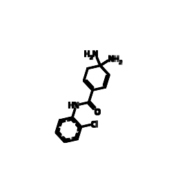 NC1(N)C=CC(C(=O)Nc2ccccc2Cl)=CC1